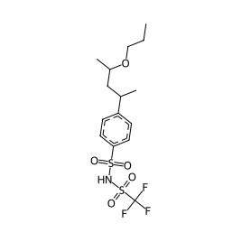 CCCOC(C)CC(C)c1ccc(S(=O)(=O)NS(=O)(=O)C(F)(F)F)cc1